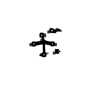 O=S(=O)([O-])[O-].[Cu+2].[K]